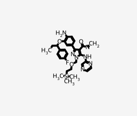 C=NC(=O)c1c(-c2ccc(N)c(OC(CC)c3ccc(F)cc3)c2)nn(COCC[Si](C)(C)C)c1Nc1cnccn1